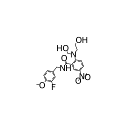 COc1ccc(CNC(=O)c2cc([N+](=O)[O-])ccc2N(CO)CCO)cc1F